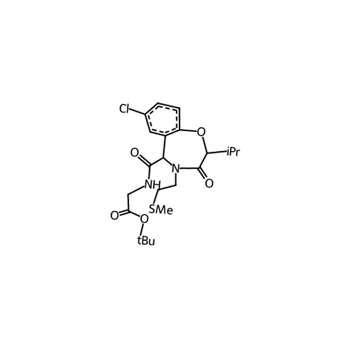 CSCCN1C(=O)C(C(C)C)Oc2ccc(Cl)cc2C1C(=O)NCC(=O)OC(C)(C)C